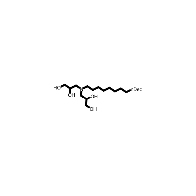 CCCCCCCCCCCCCCCCCCN(CC(O)CO)CC(O)CO